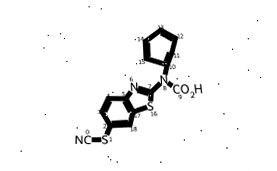 N#CSc1ccc2nc(N(C(=O)O)c3ccccc3)sc2c1